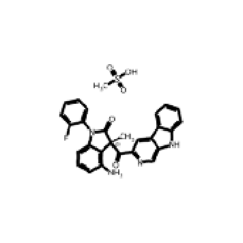 CS(=O)(=O)O.C[C@]1(C(=O)c2cc3c(cn2)[nH]c2ccccc23)C(=O)N(c2ccccc2F)c2cccc(N)c21